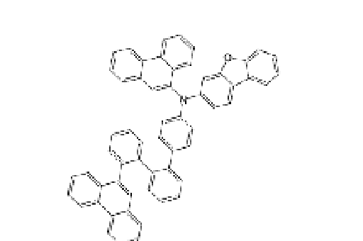 c1ccc(-c2ccccc2-c2cc3ccccc3c3ccccc23)c(-c2ccc(N(c3ccc4c(c3)oc3ccccc34)c3cc4ccccc4c4ccccc34)cc2)c1